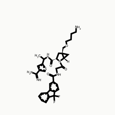 CC(NC(=O)[C@@H]1C[C@]2(COCCCCN)C[C@@H]2N1C(=O)CNC(=O)c1ccc2c(c1)-c1ccccc1C2(F)F)c1cc(C(=N)N)cs1